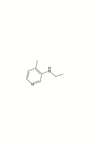 CCNc1[c]nccc1C